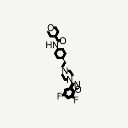 O=C(N[C@H]1CC[C@H](CCN2CCN(c3noc4c(F)cc(F)cc34)CC2)CC1)C1CCOCC1